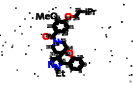 CCn1ncc2c1-c1ccccc1OC21CCN(C(=O)c2ccc(OCCC(C)C)c(OC)c2)CC1